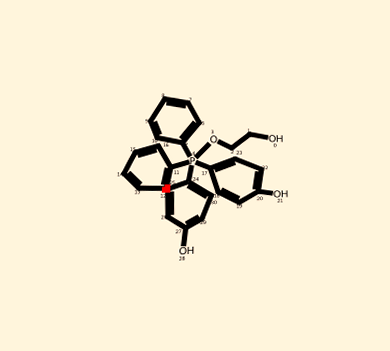 OCCOP(c1ccccc1)(c1ccccc1)(c1ccc(O)cc1)c1ccc(O)cc1